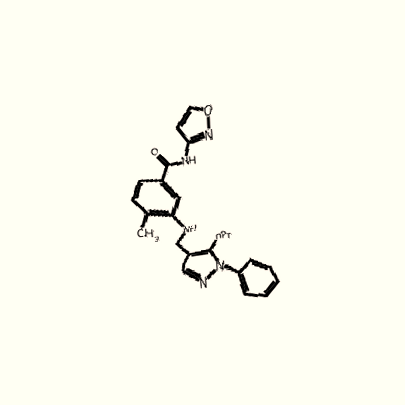 CCCc1c(CNc2cc(C(=O)Nc3ccon3)ccc2C)cnn1-c1ccccc1